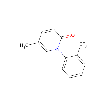 Cc1ccc(=O)n(-c2ccccc2C(F)(F)F)c1